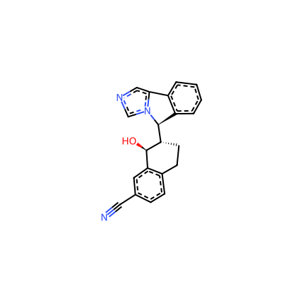 N#Cc1ccc2c(c1)[C@@H](O)[C@H]([C@@H]1c3ccccc3-c3cncn31)CC2